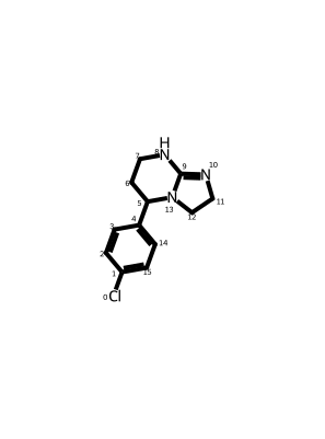 Clc1ccc(C2CCNC3=NCCN32)cc1